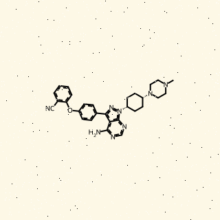 CN1CCN([C@H]2CC[C@@H](n3nc(-c4ccc(Oc5ccccc5C#N)cc4)c4c(N)ncnc43)CC2)CC1